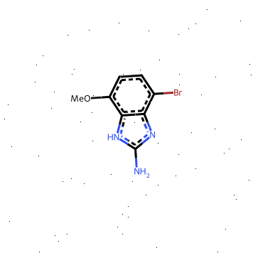 COc1ccc(Br)c2nc(N)[nH]c12